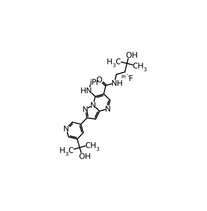 CC(C)Nc1c(C(=O)NC[C@@H](F)C(C)(C)O)cnc2cc(-c3cncc(C(C)(C)O)c3)nn12